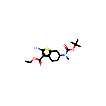 CCOC(=O)c1c(N)sc2c1CCC(N(C)C(=O)OC(C)(C)C)C2